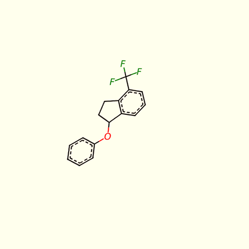 FC(F)(F)c1cccc2c1CCC2Oc1ccccc1